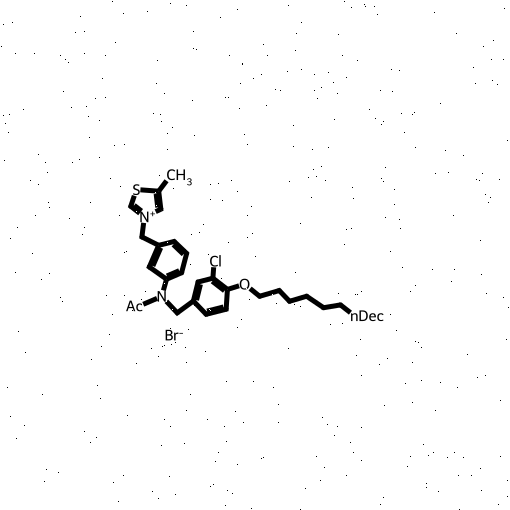 CCCCCCCCCCCCCCCCOc1ccc(CN(C(C)=O)c2cccc(C[n+]3csc(C)c3)c2)cc1Cl.[Br-]